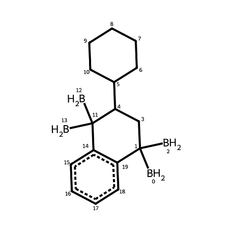 BC1(B)CC(C2CCCCC2)C(B)(B)c2ccccc21